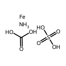 N.O=C(O)O.O=S(=O)(O)O.[Fe]